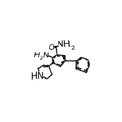 NC(=O)c1cc(-c2ccccc2)cc(C2=CCNCC2)c1N